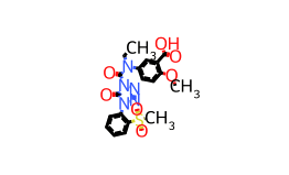 CCN(C(=O)n1nnn(-c2ccccc2S(C)(=O)=O)c1=O)c1ccc(OC)c(C(=O)O)c1